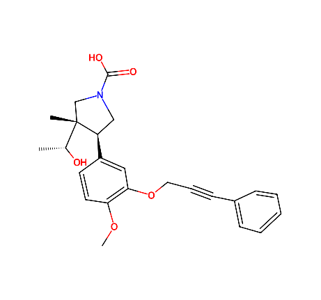 COc1ccc([C@@H]2CN(C(=O)O)C[C@@]2(C)[C@@H](C)O)cc1OCC#Cc1ccccc1